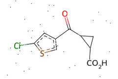 O=C(O)C1CC1C(=O)c1csc(Cl)c1